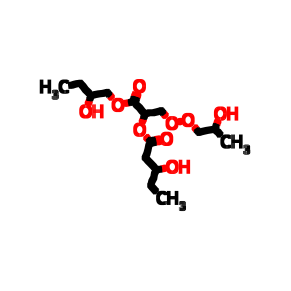 CCC(O)COC(=O)C(COOCC(C)O)OC(=O)CC(O)CC